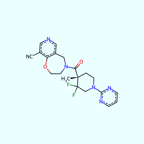 C[C@@]1(C(=O)N2CCOc3c(C#N)cncc3C2)CCN(c2ncccn2)CC1(F)F